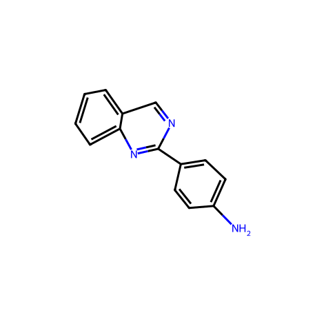 Nc1ccc(-c2ncc3ccccc3n2)cc1